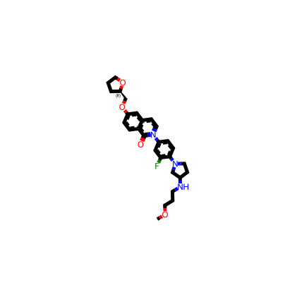 COCCCNC1CCN(c2ccc(-n3ccc4cc(OC[C@H]5CCCO5)ccc4c3=O)cc2F)C1